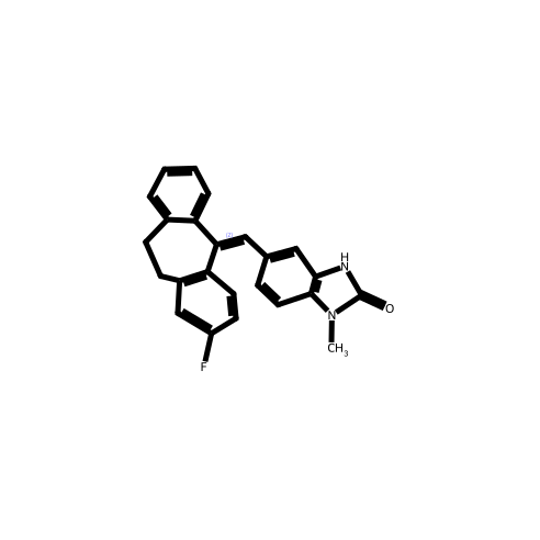 Cn1c(=O)[nH]c2cc(/C=C3/c4ccccc4CCc4cc(F)ccc43)ccc21